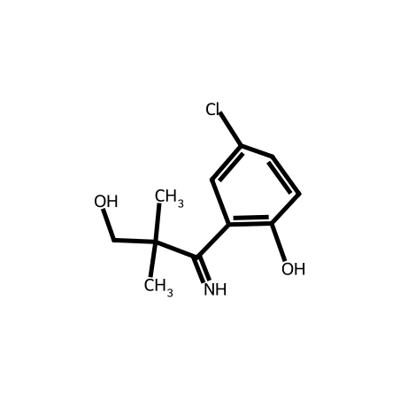 CC(C)(CO)C(=N)c1cc(Cl)ccc1O